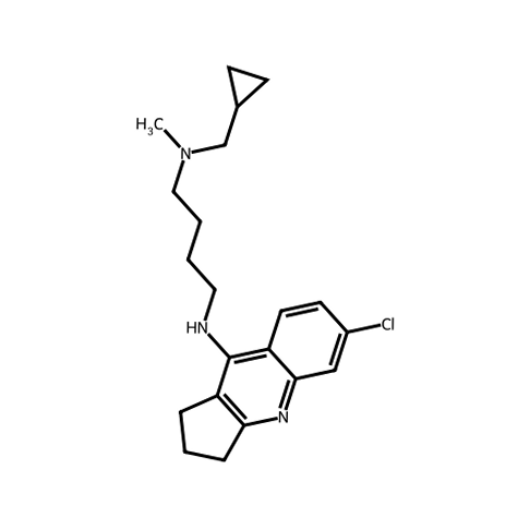 CN(CCCCNc1c2c(nc3cc(Cl)ccc13)CCC2)CC1CC1